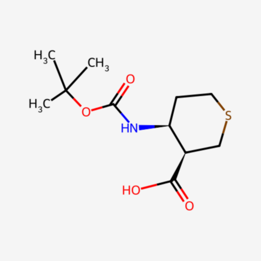 CC(C)(C)OC(=O)N[C@H]1CCSC[C@H]1C(=O)O